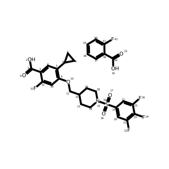 O=C(O)c1cc(C2CC2)c(OCC2CCN(S(=O)(=O)c3cc(F)c(F)c(F)c3)CC2)cc1F.O=C(O)c1ccccc1F